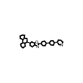 c1cncc(-c2ccc(-c3ccc(-c4nc5ccc(-c6cc7ccccc7c7ccccc67)cc5o4)cc3)cc2)c1